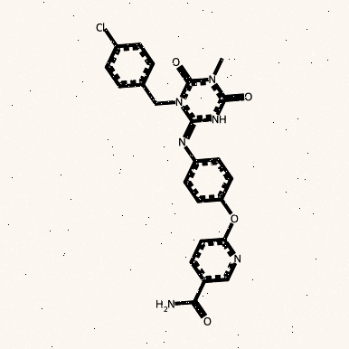 Cn1c(=O)[nH]/c(=N\c2ccc(Oc3ccc(C(N)=O)cn3)cc2)n(Cc2ccc(Cl)cc2)c1=O